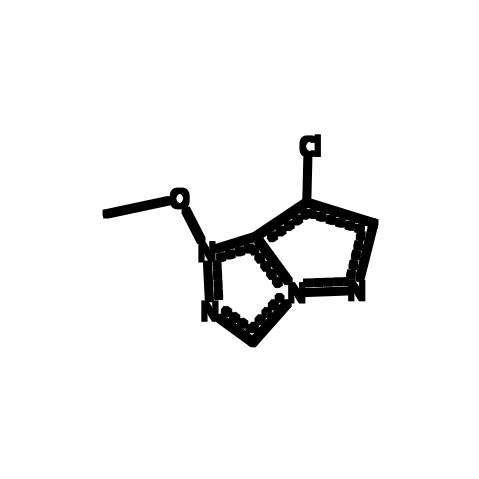 COn1ncn2ncc(Cl)c12